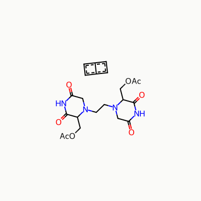 CC(=O)OCC1C(=O)NC(=O)CN1CCN1CC(=O)NC(=O)C1COC(C)=O.c1cc2ccc1-2